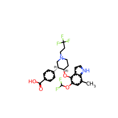 Cc1cc(OC(F)F)c(O[C@@H]2CCN(CCC(F)(F)F)C[C@H]2c2ccc(C(=O)O)cc2)c2cc[nH]c12